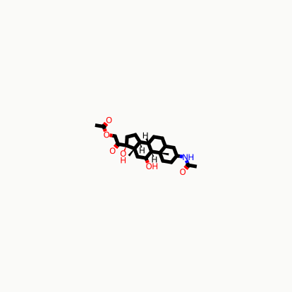 CC(=O)NC1CC[C@@]2(C)C(CC[C@@H]3[C@@H]2C(O)C[C@@]2(C)[C@H]3CC[C@]2(O)C(=O)COC(C)=O)C1